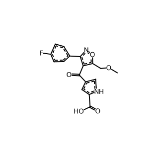 COCc1onc(-c2ccc(F)cc2)c1C(=O)c1c[nH]c(C(=O)O)c1